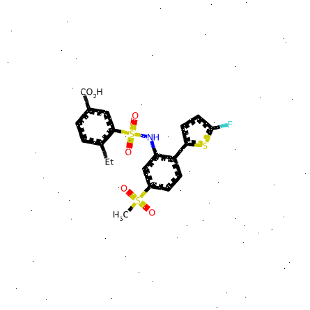 CCc1ccc(C(=O)O)cc1S(=O)(=O)Nc1cc(S(C)(=O)=O)ccc1-c1ccc(F)s1